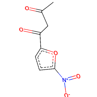 CC(=O)CC(=O)c1ccc([N+](=O)[O-])o1